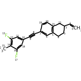 C=CC1CCc2cc(C#Cc3cc(F)c(C(F)(F)F)c(F)c3)ccc2C1